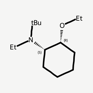 CCO[C@@H]1CCCC[C@@H]1N(CC)C(C)(C)C